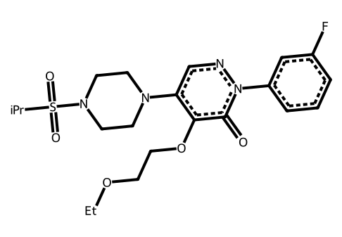 CCOCCOc1c(N2CCN(S(=O)(=O)C(C)C)CC2)cnn(-c2cccc(F)c2)c1=O